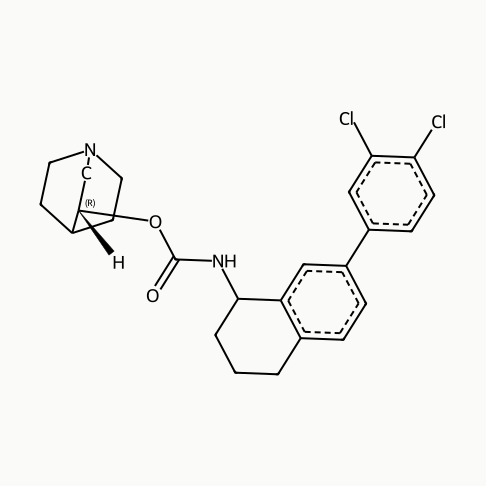 O=C(NC1CCCc2ccc(-c3ccc(Cl)c(Cl)c3)cc21)O[C@H]1CN2CCC1CC2